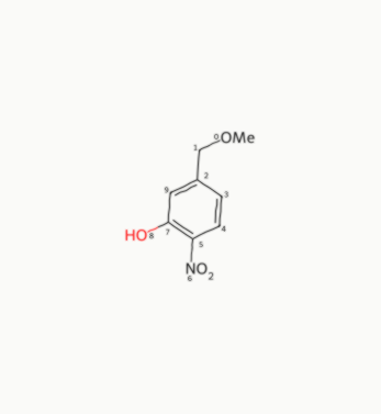 COCc1ccc([N+](=O)[O-])c(O)c1